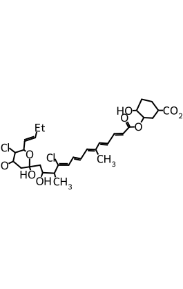 CC/C=C/C1OC(O)(CC(O)C(C)/C(Cl)=C/C=C/C=C(C)/C=C/C=C/C(=O)OC2CC(C(=O)O)CCC2O)CC(O)C1Cl